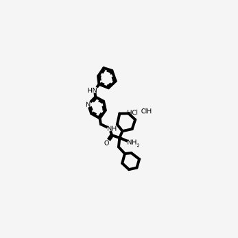 Cl.Cl.NC(CC1CCCCC1)(C(=O)NCc1ccc(Nc2ccccc2)nc1)C1CCCCC1